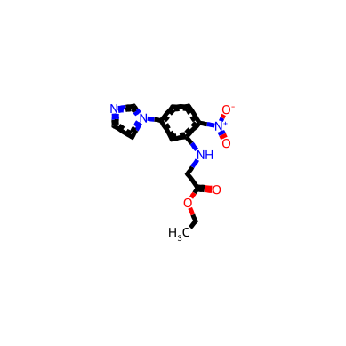 CCOC(=O)CNc1cc(-n2ccnc2)ccc1[N+](=O)[O-]